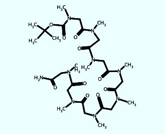 CN(CC(N)=O)C(=O)CN(C)C(=O)CN(C)C(=O)CN(C)C(=O)CN(C)C(=O)CN(C)C(=O)CN(C)C(=O)CN(C)C(=O)OC(C)(C)C